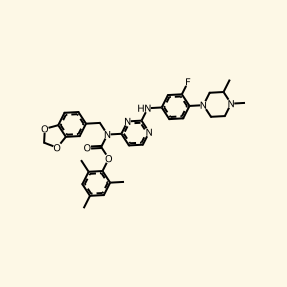 Cc1cc(C)c(OC(=O)N(Cc2ccc3c(c2)OCO3)c2ccnc(Nc3ccc(N4CCN(C)C(C)C4)c(F)c3)n2)c(C)c1